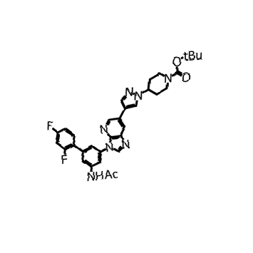 CC(=O)Nc1cc(-c2ccc(F)cc2F)cc(-n2cnc3cc(-c4cnn(C5CCN(C(=O)OC(C)(C)C)CC5)c4)cnc32)c1